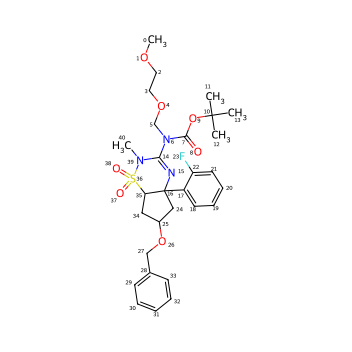 COCCOCN(C(=O)OC(C)(C)C)C1=NC2(c3ccccc3F)CC(OCc3ccccc3)CC2S(=O)(=O)N1C